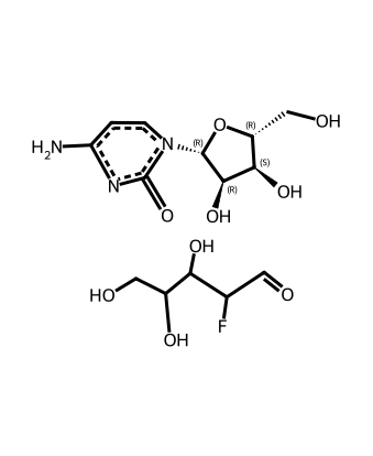 Nc1ccn([C@@H]2O[C@H](CO)[C@@H](O)[C@H]2O)c(=O)n1.O=CC(F)C(O)C(O)CO